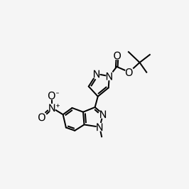 Cn1nc(-c2cnn(C(=O)OC(C)(C)C)c2)c2cc([N+](=O)[O-])ccc21